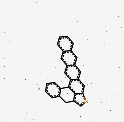 c1ccc2c(c1)Cc1csc3cc4cc5cc6ccccc6cc5cc4c-2c13